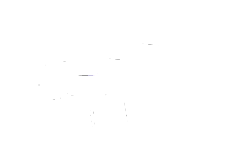 CCCCC(C)n1c2ccccc2c2cccc(I)c21